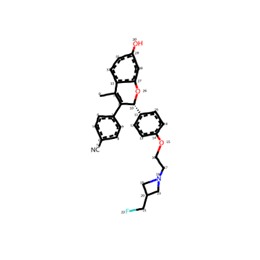 CC1=C(c2ccc(C#N)cc2)[C@@H](c2ccc(OCCN3CC(CF)C3)cc2)Oc2cc(O)ccc21